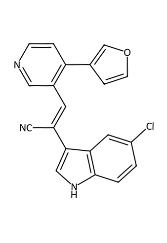 N#CC(=Cc1cnccc1-c1ccoc1)c1c[nH]c2ccc(Cl)cc12